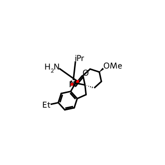 CCc1ccc2c(c1)C1(N=C(N)N(C(C)C)C1=O)[C@]1(CC[C@H](OC)CC1)C2